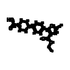 CCOC(=O)c1nc(I)oc1-c1ccc(N2CCN(C(=O)O)CC2)cc1